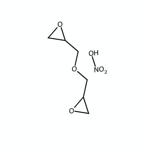 C(OCC1CO1)C1CO1.O=[N+]([O-])O